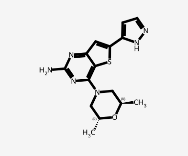 C[C@@H]1CN(c2nc(N)nc3cc(-c4ccn[nH]4)sc23)C[C@@H](C)O1